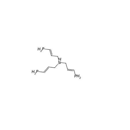 PC=CC[SiH](CC=CP)CC=CP